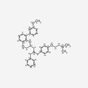 COc1cccc(-c2cccc3c2OC(CN(Cc2ccc(OCCN(C)C)cc2)Cc2cccnc2)CO3)n1